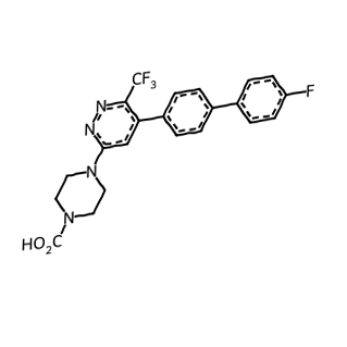 O=C(O)N1CCN(c2cc(-c3ccc(-c4ccc(F)cc4)cc3)c(C(F)(F)F)nn2)CC1